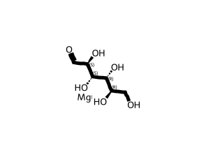 O=C[C@@H](O)[C@@H](O)[C@H](O)[C@H](O)CO.[Mg]